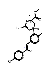 COC(=O)[C@@]1(C)C[C@](C)(c2cc(/C=C(\F)c3ccc(Cl)cn3)ccc2F)N=C(N)S1